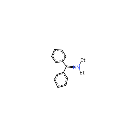 C=C(c1ccccc1)c1ccccc1.CCNCC